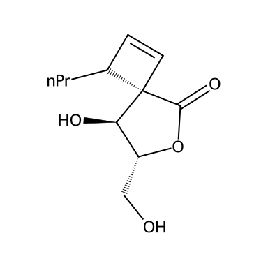 CCCC1C=C[C@]12C(=O)O[C@H](CO)[C@H]2O